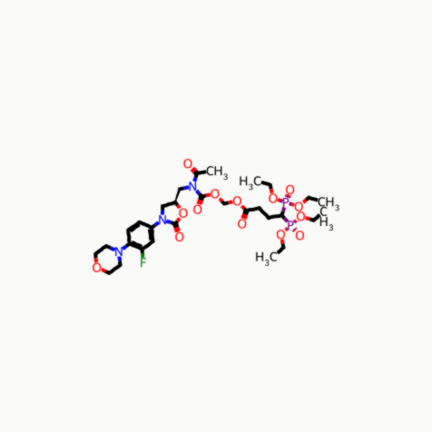 CCOP(=O)(OCC)C(CCC(=O)OCOC(=O)N(C[C@@H]1CN(c2ccc(N3CCOCC3)c(F)c2)C(=O)O1)C(C)=O)P(=O)(OCC)OCC